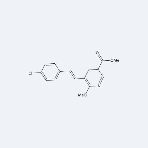 COC(=O)c1cnc(OC)c(/C=C/c2ccc(Cl)cc2)c1